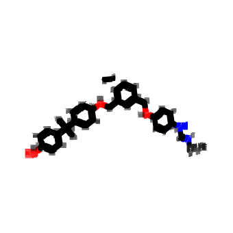 CC.CCOC(=O)N=CNc1ccc(OCc2cccc(COc3ccc(C(C)(C)c4ccc(O)cc4)cc3)c2)cc1